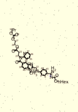 CCCCCCOC(=O)/N=C(\N)c1ccc(NCc2nc3cc(C(=O)N(CCC(=O)OCCOC(=O)OC(C)C)c4ccccn4)ccc3n2C)cc1